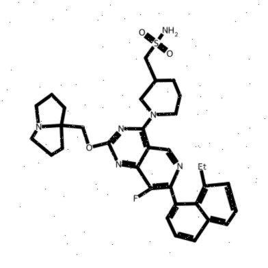 CCc1cccc2cccc(-c3ncc4c(N5CCCC(CS(N)(=O)=O)C5)nc(OCC56CCCN5CCC6)nc4c3F)c12